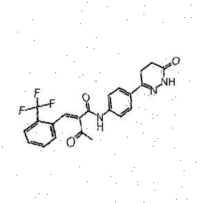 CC(=O)/C(=C\c1ccccc1C(F)(F)F)C(=O)Nc1ccc(C2=NNC(=O)CC2)cc1